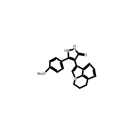 COc1ccc(-c2[nH][nH]c(=O)c2-c2cn3c4c(cccc24)CCC3)cc1